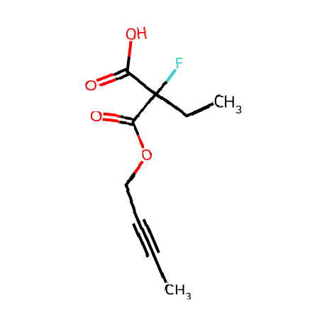 CC#CCOC(=O)C(F)(CC)C(=O)O